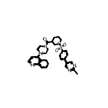 Cc1ncc(-c2ccc(S(=O)(=O)N3CCCC(C(=O)N4CCN(c5ccnc6ccccc56)CC4)C3)cc2)cn1